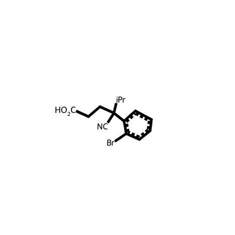 CC(C)C(C#N)(CCC(=O)O)c1ccccc1Br